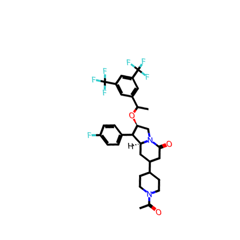 CC(=O)N1CCC(C2CC(=O)N3C[C@H](OC(C)c4cc(C(F)(F)F)cc(C(F)(F)F)c4)C(c4ccc(F)cc4)[C@@H]3C2)CC1